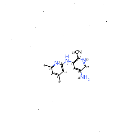 Cc1cc(C)nc(Nc2cc(N)cnc2C#N)c1